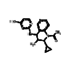 CC(=O)N1c2ccncc2C(Nc2nccc(C)n2)C(C)C1C1CC1